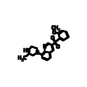 COc1ccccc1S(=O)(=O)c1cnc2c(N3CCNC(C)C3)cccc2c1